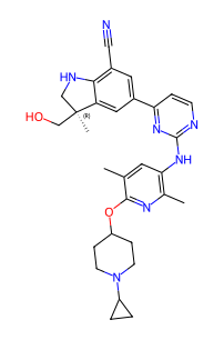 Cc1cc(Nc2nccc(-c3cc(C#N)c4c(c3)[C@@](C)(CO)CN4)n2)c(C)nc1OC1CCN(C2CC2)CC1